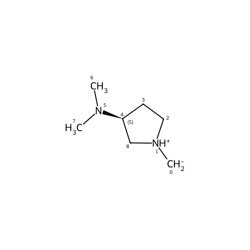 [CH2-][NH+]1CC[C@H](N(C)C)C1